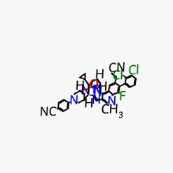 Cc1nc2c(F)c(-c3cccc(Cl)c3Cl)c(CCC#N)cc2c2c1cc([C@H]1[C@H]3C[C@H](CN(c4ccc(C#N)cc4)C3)N1C(=O)C1CC1)n2[C@H]1[C@H]2CN[C@@H]1C2